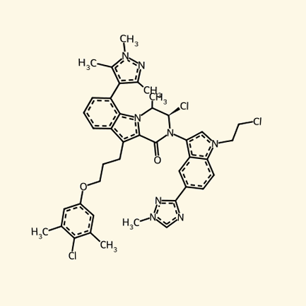 Cc1cc(OCCCc2c3n(c4c(-c5c(C)nn(C)c5C)cccc24)C(C)[C@@H](Cl)N(c2cn(CCCl)c4ccc(-c5ncn(C)n5)cc24)C3=O)cc(C)c1Cl